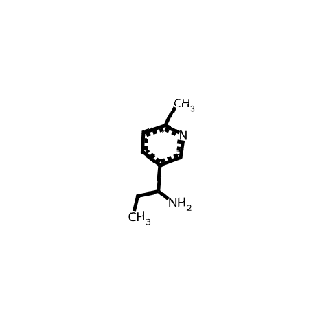 CCC(N)c1ccc(C)nc1